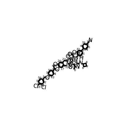 Cc1nc(NC2CCC2)sc1S(=O)(=O)N1Cc2cc3c(cc2C[C@H]1C(=O)N[C@@H](Cc1ccc(-c2ccc(C#N)cc2)cc1)C(=O)O)OCC(c1ccc(OCc2ccc(Cl)c(Cl)c2)cc1)O3